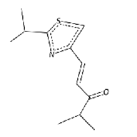 CC(C)C(=O)/C=C/c1csc(C(C)C)n1